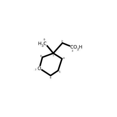 CC1(CC(=O)O)CCCOC1